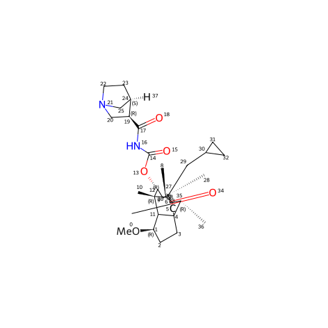 CO[C@@H]1CCC23CC[C@@H](C)[C@](C)(C12)[C@H](OC(=O)NC(=O)[C@H]1CN2CC[C@@H]1C2)C[C@@](C)(CC1CC1)C(=O)[C@@H]3C